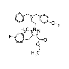 CCOC(=O)c1nn(CCN(Cc2ccccc2)Cc2ccc(C)cc2)c(C)c1Cc1ccc(F)cc1